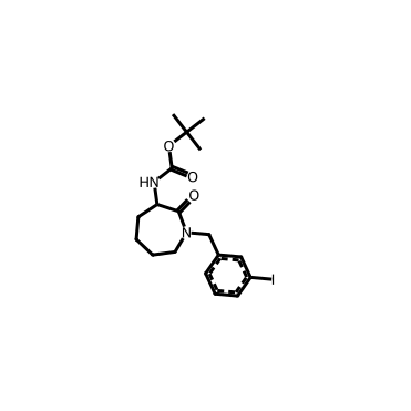 CC(C)(C)OC(=O)NC1CCCCN(Cc2cccc(I)c2)C1=O